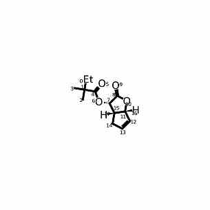 CCC(C)(C)C(=O)O[C@@H]1C(=O)O[C@@H]2C=CC[C@H]12